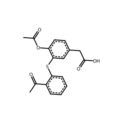 CC(=O)Oc1ccc(CC(=O)O)cc1Sc1ccccc1C(C)=O